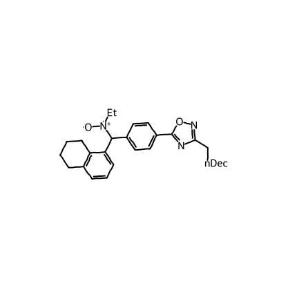 CCCCCCCCCCCc1noc(-c2ccc(C(c3cccc4c3CCCC4)[N+]([O])CC)cc2)n1